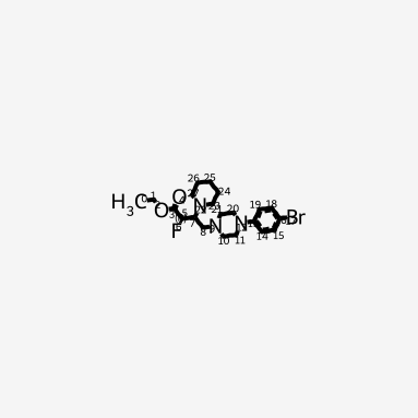 CCOC(=O)[C@H](F)C(CN1CCN(c2ccc(Br)cc2)CC1)N1CCCCC1